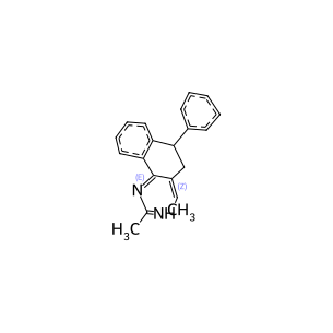 C/C=C1/CC(c2ccccc2)c2ccccc2/C1=N/C(C)=N